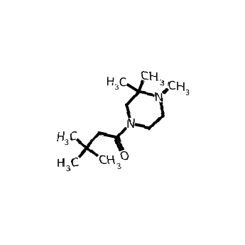 CN1CCN(C(=O)CC(C)(C)C)CC1(C)C